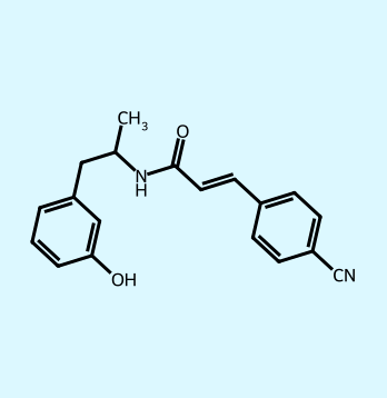 CC(Cc1cccc(O)c1)NC(=O)C=Cc1ccc(C#N)cc1